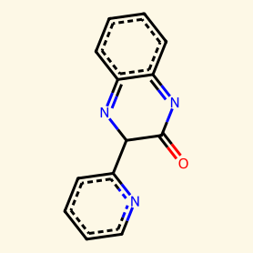 O=C1N=c2ccccc2=NC1c1ccccn1